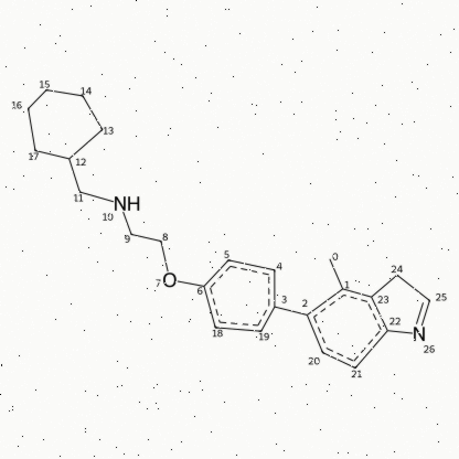 Cc1c(-c2ccc(OCCNCC3CCCCC3)cc2)ccc2c1CC=N2